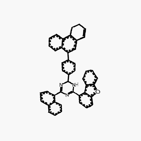 C1=Cc2cc(-c3ccc(C4N=C(c5cccc6ccccc56)N=C(c5cccc6oc7ccccc7c56)N4)cc3)c3ccccc3c2CC1